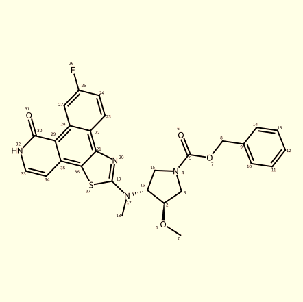 CO[C@@H]1CN(C(=O)OCc2ccccc2)C[C@H]1N(C)c1nc2c3ccc(F)cc3c3c(=O)[nH]ccc3c2s1